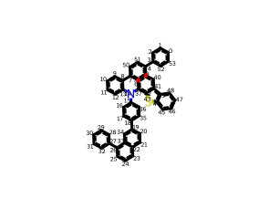 c1ccc(-c2ccc(-c3ccccc3N(c3ccc(-c4ccc5cccc(-c6ccccc6)c5c4)cc3)c3cccc4c3sc3ccccc34)cc2)cc1